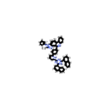 CCc1nc2c3c(-c4ccc(-c5cccc(-c6nc(-c7cccc8ccccc78)nc(-c7cccc8ccccc78)n6)n5)cc4)nc4ccccc4c3ccc2n1-c1ccccc1